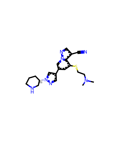 CN(C)CCSc1cc(-c2cnn([C@H]3CCCNC3)c2)cn2ncc(C#N)c12